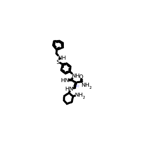 N=C(Nc1ccc(SNCc2ccccc2)cc1)/C(=C\NC1CCCCC1N)C(N)=O